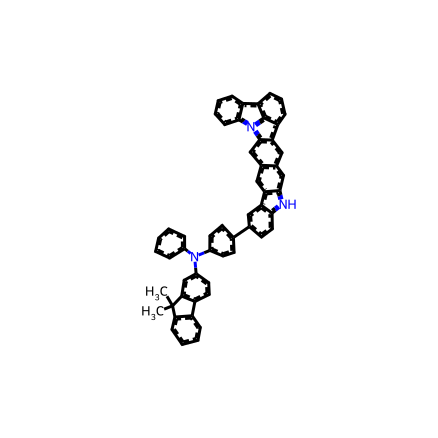 CC1(C)c2ccccc2-c2ccc(N(c3ccccc3)c3ccc(-c4ccc5[nH]c6cc7cc8c9cccc%10c%11ccccc%11n(c8cc7cc6c5c4)c%109)cc3)cc21